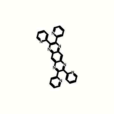 c1ccc(-c2nc3cc4nc(-c5ccccn5)c(-c5ccccn5)nc4cc3nc2-c2ccccn2)nc1